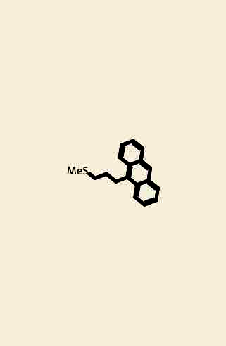 CSCCCc1c2ccccc2cc2ccccc12